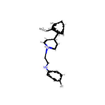 CCc1ccc(NCCN2CCC(c3ccccc3OC)CC2)cc1